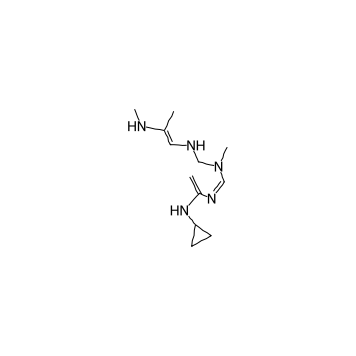 C=C(/N=C\N(C)CN/C=C(\C)NC)NC1CC1